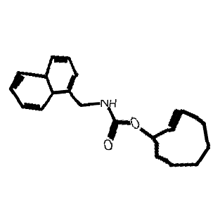 O=C(NCC1=CC=CC2C=CC=CC12)OC1/C=C/CCCCC1